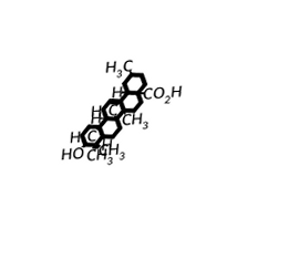 C[C@@H]1CC[C@]2(C(=O)O)CC[C@]3(C)C(=CC[C@@H]4[C@@]5(C)CC[C@H](O)C(C)(C)[C@@H]5CC[C@]43C)[C@@H]2C1